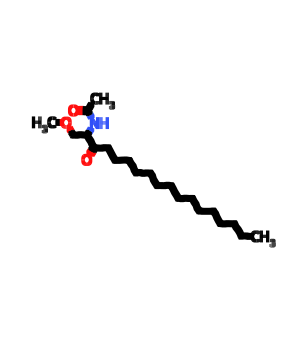 CCCCCCCCCCCCCCCC(=O)C(COC)NC(C)=O